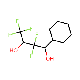 OC(C1CCCCC1)C(F)(F)C(O)C(F)(F)F